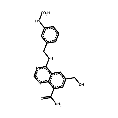 NC(=O)c1cc(CO)cc2c(NCc3cccc(NC(=O)O)c3)ncnc12